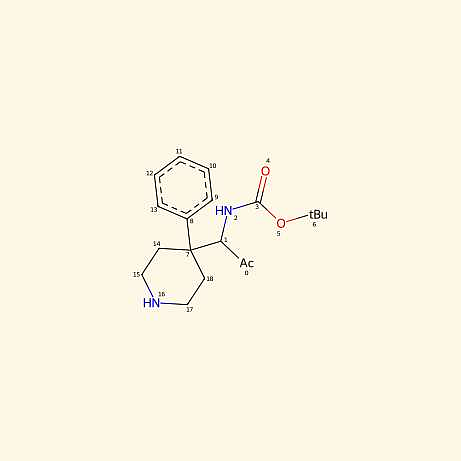 CC(=O)C(NC(=O)OC(C)(C)C)C1(c2ccccc2)CCNCC1